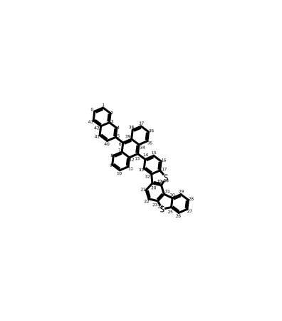 c1ccc2cc(-c3c4ccccc4c(-c4ccc5sc6c(ccc7sc8ccccc8c76)c5c4)c4ccccc34)ccc2c1